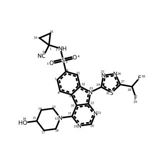 N#CC1(NS(=O)(=O)c2ccc3c4c(N5CCC(O)CC5)ncnc4n(-c4nnc(C(F)F)s4)c3c2)CC1